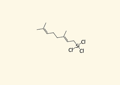 CC(C)=CCC/C(C)=C/C[Si](Cl)(Cl)Cl